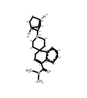 CN(C)C(=O)C1=CCC2(CCN(C3C[C@@H]4CC[C@@H]3C4)CC2)c2ccccc21